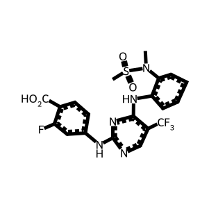 CN(c1ccccc1Nc1nc(Nc2ccc(C(=O)O)c(F)c2)ncc1C(F)(F)F)S(C)(=O)=O